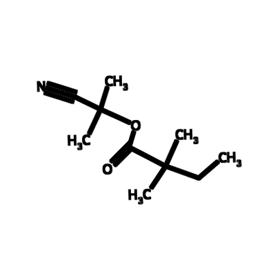 CCC(C)(C)C(=O)OC(C)(C)C#N